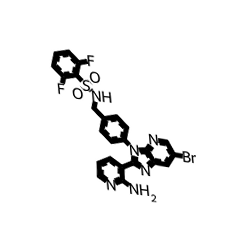 Nc1ncccc1-c1nc2cc(Br)cnc2n1-c1ccc(CNS(=O)(=O)c2c(F)cccc2F)cc1